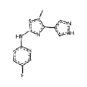 Cc1sc(Nc2ccc(F)cn2)nc1-c1cn[nH]c1